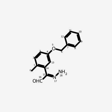 Cc1ccc(OCc2ccccc2)cc1/C(C=O)=N\N